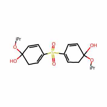 CC(C)OC1(O)C=CC(S(=O)(=O)C2=CCC(O)(OC(C)C)C=C2)=CC1